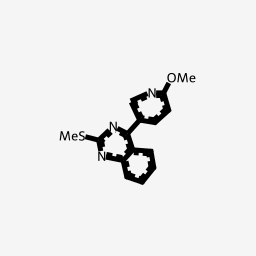 COc1ccc(-c2nc(SC)nc3ccccc23)cn1